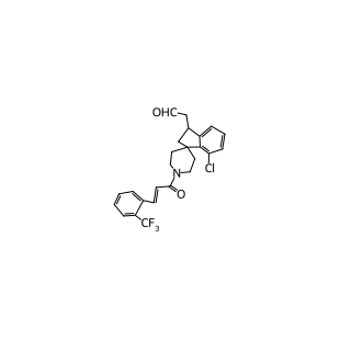 O=CCC1CC2(CCN(C(=O)/C=C/c3ccccc3C(F)(F)F)CC2)c2c(Cl)cccc21